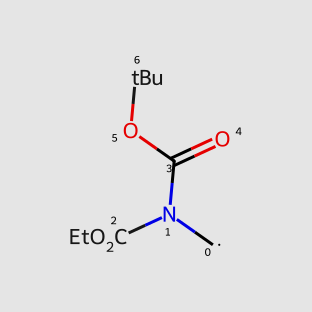 [CH2]N(C(=O)OCC)C(=O)OC(C)(C)C